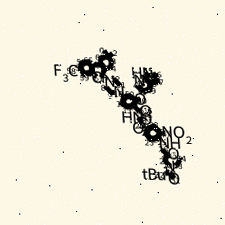 CC1(C)CCC(CN2CCN(c3ccc(C(=O)NS(=O)(=O)c4ccc(NCC5CN(C(=O)C(C)(C)C)CCO5)c([N+](=O)[O-])c4)c(Oc4cnc5[nH]ccc5c4)c3)CC2)=C(c2ccc(C(F)(F)F)cc2Cl)C1